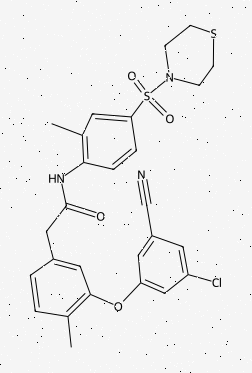 Cc1cc(S(=O)(=O)N2CCSCC2)ccc1NC(=O)Cc1ccc(C)c(Oc2cc(Cl)cc(C#N)c2)c1